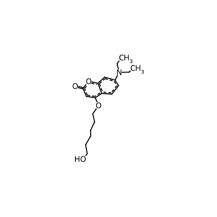 CCN(CC)c1ccc2c(OCCCCCCO)cc(=O)oc2c1